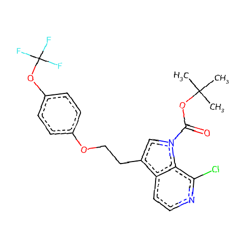 CC(C)(C)OC(=O)n1cc(CCOc2ccc(OC(F)(F)F)cc2)c2ccnc(Cl)c21